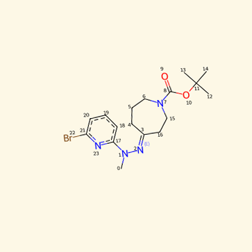 CN(/N=C1\CCCN(C(=O)OC(C)(C)C)CC1)c1cccc(Br)n1